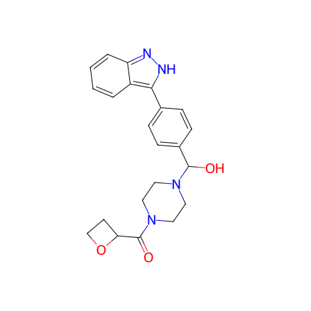 O=C(C1CCO1)N1CCN(C(O)c2ccc(-c3[nH]nc4ccccc34)cc2)CC1